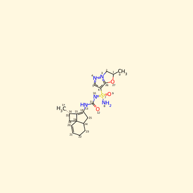 CC1Cn2ncc(S(N)(=O)=NC(=O)NC3=C4[C@@H](C)CC45C=CCCC5C3)c2O1